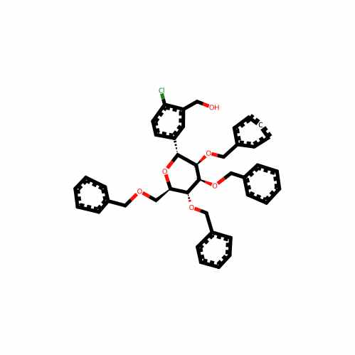 OCc1cc([C@H]2O[C@H](COCc3ccccc3)[C@@H](OCc3ccccc3)[C@H](OCc3ccccc3)[C@@H]2OCc2ccccc2)ccc1Cl